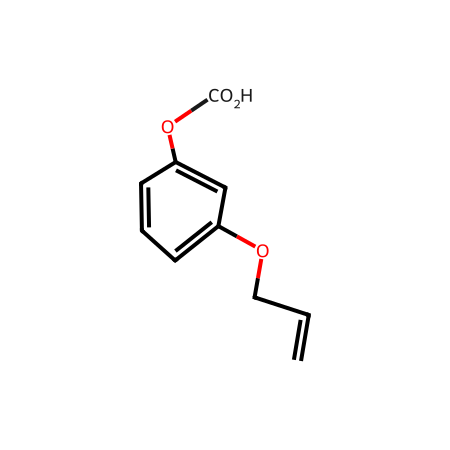 C=CCOc1cccc(OC(=O)O)c1